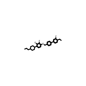 CCCC1CCC(c2ccc(OCc3ccc(-c4ccc(CC)c(F)c4)cc3)c(F)c2F)CC1